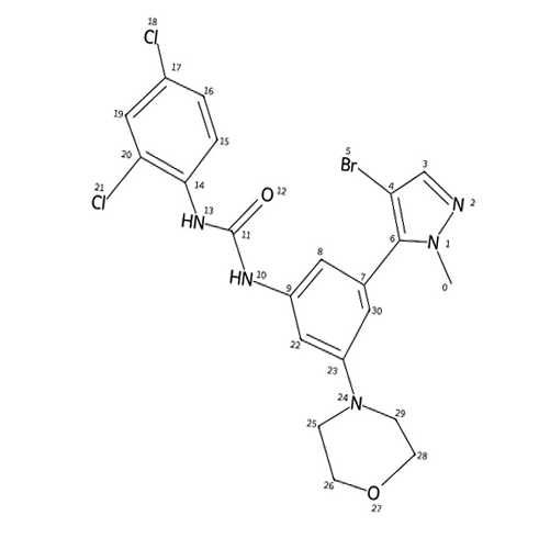 Cn1ncc(Br)c1-c1cc(NC(=O)Nc2ccc(Cl)cc2Cl)cc(N2CCOCC2)c1